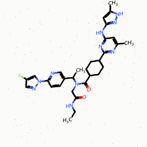 CCNC(=O)CN(C(=O)C1CCC(c2nc(C)cc(Nc3cc(C)[nH]n3)n2)CC1)C(C)c1ccc(-n2cc(F)cn2)nc1